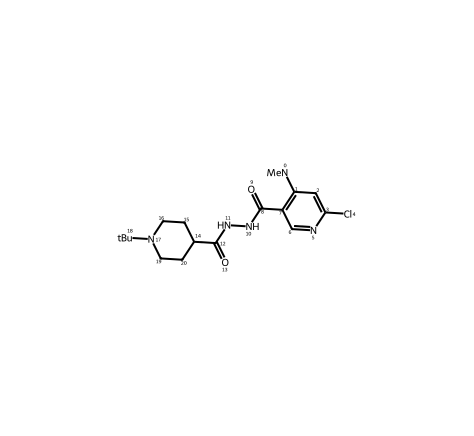 CNc1cc(Cl)ncc1C(=O)NNC(=O)C1CCN(C(C)(C)C)CC1